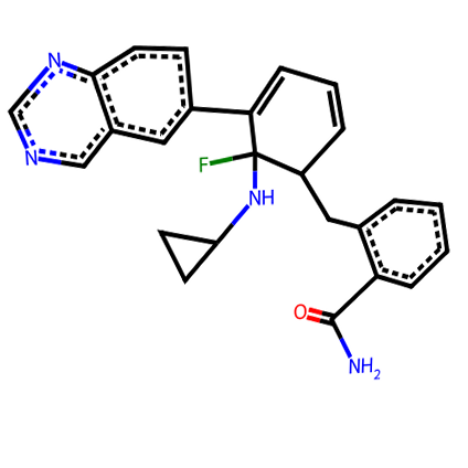 NC(=O)c1ccccc1CC1C=CC=C(c2ccc3ncncc3c2)C1(F)NC1CC1